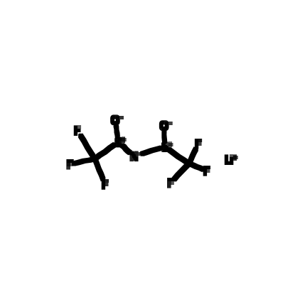 [Li+].[O-][S+]([N-][S+]([O-])C(F)(F)F)C(F)(F)F